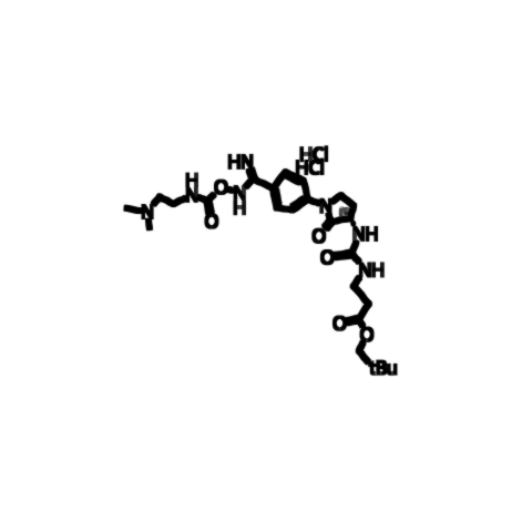 CN(C)CCNC(=O)ONC(=N)c1ccc(N2CC[C@H](NC(=O)NCCC(=O)OCC(C)(C)C)C2=O)cc1.Cl.Cl